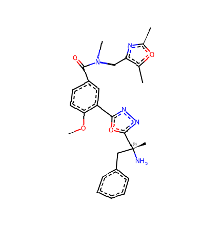 COc1ccc(C(=O)N(C)Cc2nc(C)oc2C)cc1-c1nnc([C@](C)(N)Cc2ccccc2)o1